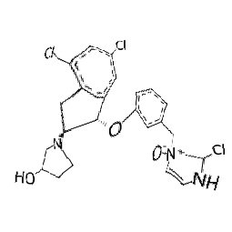 [O-][N+]1(Cc2cccc(O[C@H]3c4cc(Cl)cc(Cl)c4C[C@@H]3N3CCC(O)C3)c2)C=CNC1Cl